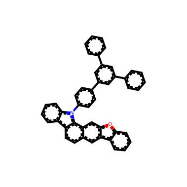 c1ccc(-c2cc(-c3ccccc3)cc(-c3ccc(-n4c5ccccc5c5ccc6cc7c(cc6c54)oc4ccccc47)cc3)c2)cc1